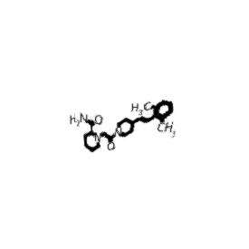 Cc1cccc(C)c1C=CC1CCN(C(=O)CN2CCCC[C@H]2C(N)=O)CC1